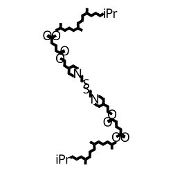 CC(C)CCCC(C)CCCC(C)CCCC(C)COC(=O)CCCC(=O)OCCC1CCN(CCSSCCN2CCC(CCOC(=O)CCCC(=O)OCC(C)CCCC(C)CCCC(C)CCCC(C)C)CC2)CC1